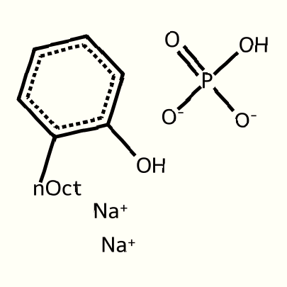 CCCCCCCCc1ccccc1O.O=P([O-])([O-])O.[Na+].[Na+]